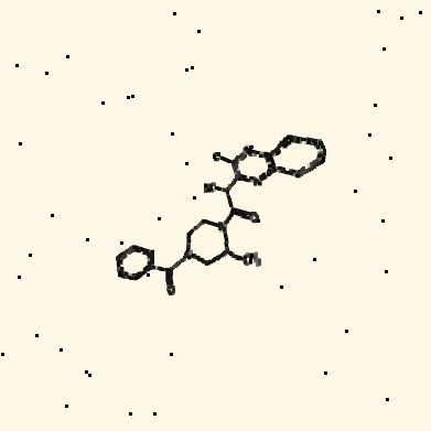 CC1CN(C(=O)c2ccccc2)CCN1C(=O)C(C#N)c1nc2ccccc2nc1Cl